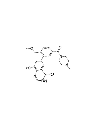 COCc1ccc(C(=O)N2CCN(C)CC2)cc1-c1cc(O)c2nc[nH]c(=O)c2c1